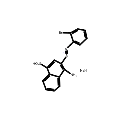 Nc1c(/N=N/c2ccccc2Br)cc(S(=O)(=O)O)c2ccccc12.[NaH]